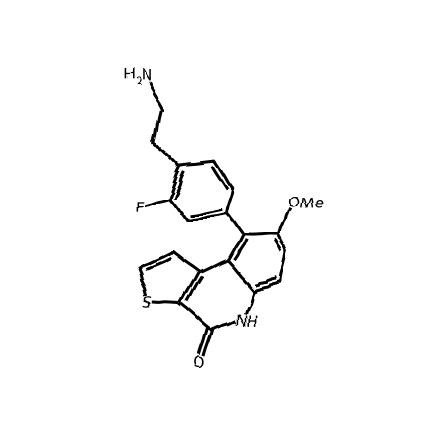 COc1ccc2[nH]c(=O)c3sccc3c2c1-c1ccc(CCN)c(F)c1